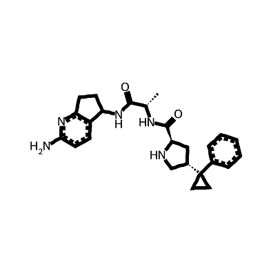 C[C@H](NC(=O)[C@H]1C[C@H](C2(c3ccccc3)CC2)CN1)C(=O)NC1CCc2nc(N)ccc21